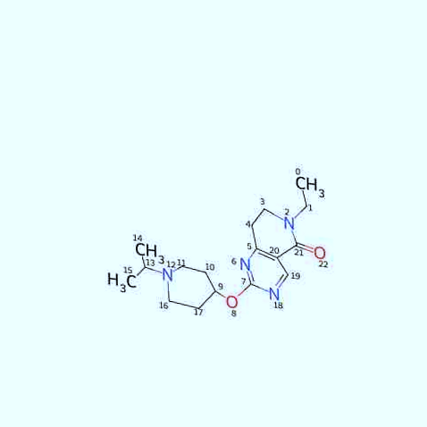 CCN1CCc2nc(OC3CCN(C(C)C)CC3)ncc2C1=O